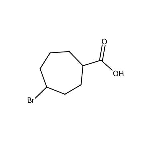 O=C(O)C1CCCC(Br)CC1